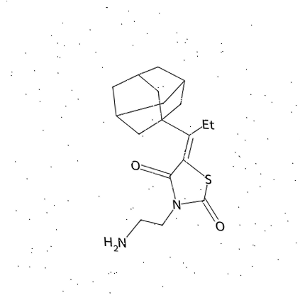 CC/C(=C1\SC(=O)N(CCN)C1=O)C12CC3CC(CC(C3)C1)C2